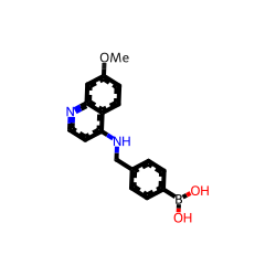 COc1ccc2c(NCc3ccc(B(O)O)cc3)ccnc2c1